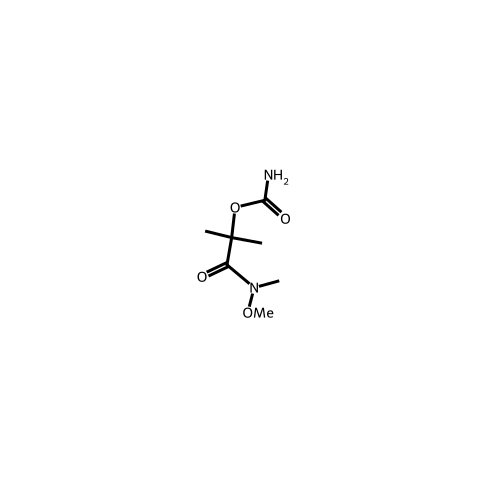 CON(C)C(=O)C(C)(C)OC(N)=O